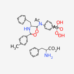 CC(=O)N(C(=O)C(Cc1ccccc1)NC(=O)c1ccc(C)cc1)c1ccc([As](=O)(O)OO)cc1.NC(Cc1ccccc1)C(=O)O